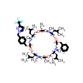 CC(C)C[C@H]1CO[C@H](C)CN(C)[C@@H](CC(C)C)CO[C@H](Cc2ccccc2)CN(C)[C@@H](CC(C)C)CO[C@H](C)CN(C)[C@@H](CC(C)C)CO[C@H](Cc2ccc(Cn3ccc(C(F)(F)F)n3)cc2)CN1C